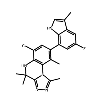 Cc1c(-c2cc(F)cc3c(C)c[nH]c23)cc(Cl)c2c1-n1c(C)nnc1C(C)(C)N2